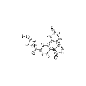 Cc1cc(C(=O)N2CC(O)C2)ccc1N1C(=O)CSC1c1ccc(F)cc1